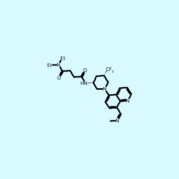 CCN(CC)C(=O)CCC(=O)N[C@@H]1C[C@H](C(F)(F)F)CN(c2ccc(/C=N\C)c3ncccc23)C1